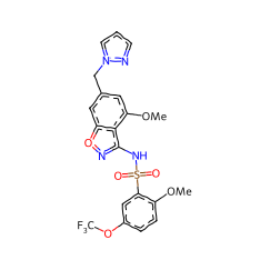 COc1ccc(OC(F)(F)F)cc1S(=O)(=O)Nc1noc2cc(Cn3cccn3)cc(OC)c12